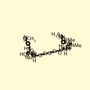 CNC(=O)c1nnc(NC(=O)CNC(=O)CCOCCOCCOCCOCCC(=O)N[C@H](C(=O)N2C[C@H](O)C[C@H]2C(=O)NCc2ccc(-c3scnc3C)cc2)C(C)(C)C)cc1Nc1cccc(-c2ncn(C)n2)c1OC